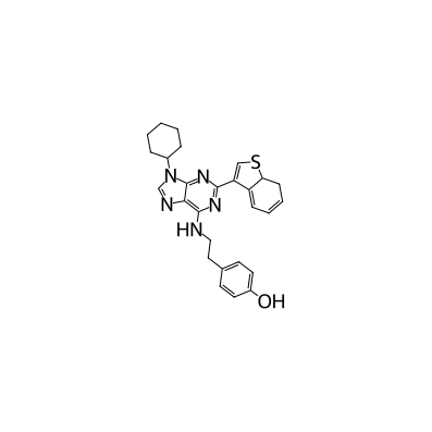 Oc1ccc(CCNc2nc(C3=CSC4CC=CC=C34)nc3c2ncn3C2CCCCC2)cc1